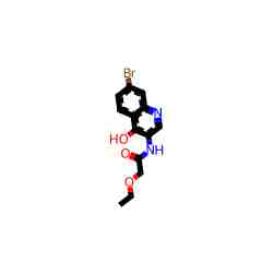 CCOCC(=O)Nc1cnc2cc(Br)ccc2c1O